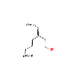 CCCCCC=C(CCO)CCCCCCCCCC